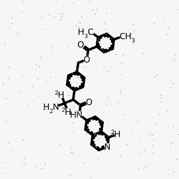 [2H]c1nccc2cc(NC(=O)C(c3ccc(COC(=O)c4ccc(C)cc4C)cc3)C([2H])([2H])N)ccc12